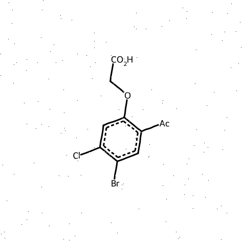 CC(=O)c1cc(Br)c(Cl)cc1OCC(=O)O